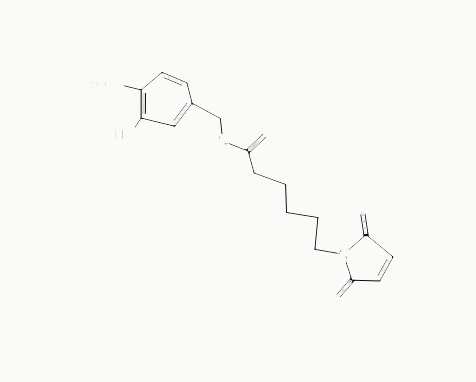 CCOC(=O)c1ccc(CNC(=O)CCCCCN2C(=O)C=CC2=O)cc1O